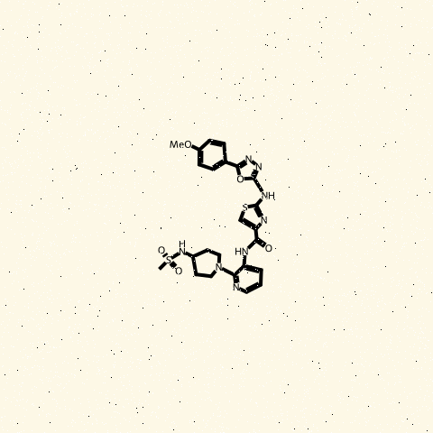 COc1ccc(-c2nnc(Nc3nc(C(=O)Nc4cccnc4N4CCC(NS(C)(=O)=O)CC4)cs3)o2)cc1